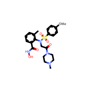 COc1ccc(S(=O)(=O)N(CC(=O)N2CCN(C)CC2)c2c(C)cccc2C(=O)NO)cc1